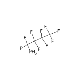 FC(F)(F)C(F)(F)C(F)(F)C(F)(F)P